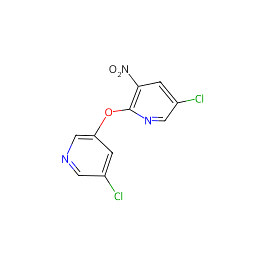 O=[N+]([O-])c1cc(Cl)cnc1Oc1cncc(Cl)c1